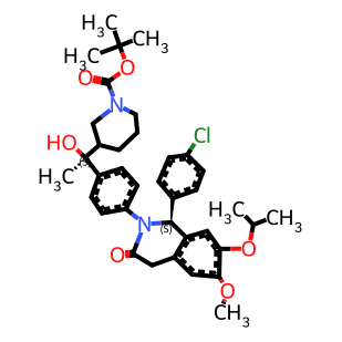 COc1cc2c(cc1OC(C)C)[C@H](c1ccc(Cl)cc1)N(c1ccc([C@@](C)(O)C3CCCN(C(=O)OC(C)(C)C)C3)cc1)C(=O)C2